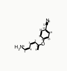 C=C(/C=C\C=C/N)Oc1ccc(C#N)cc1